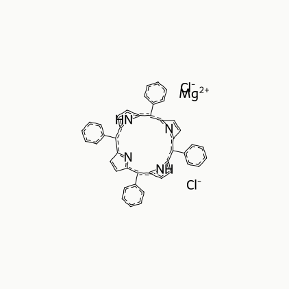 C1=Cc2nc1c(-c1ccccc1)c1ccc([nH]1)c(-c1ccccc1)c1nc(c(-c3ccccc3)c3ccc([nH]3)c2-c2ccccc2)C=C1.[Cl-].[Cl-].[Mg+2]